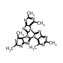 Cc1nc(C)c2c(n1)nc1n2c2nc3nc(C)nc(C)c3n2c2nc3nc(C)nc(C)c3n12